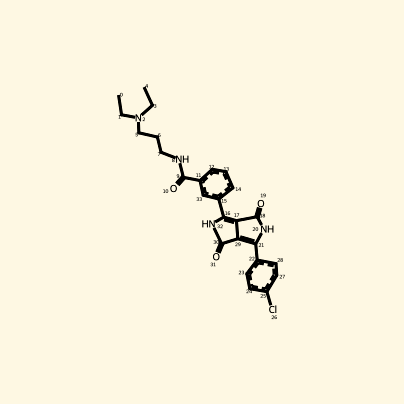 CCN(CC)CCCNC(=O)c1cccc(C2=C3C(=O)NC(c4ccc(Cl)cc4)=C3C(=O)N2)c1